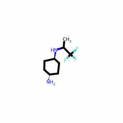 CC(N[C@H]1CC[C@H](N)CC1)C(F)(F)F